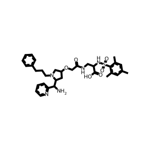 Cc1cc(C)c(S(=O)(=O)NC(CNC(=O)COC2CC(C(N)c3ccccn3)N(CCCc3ccccc3)C2)C(=O)O)c(C)c1